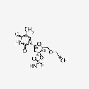 C#CCOC[C@@H]1O[C@@H](n2cc(C)c(=O)[nH]c2=O)C[C@@H]1OS(=N)(=O)F